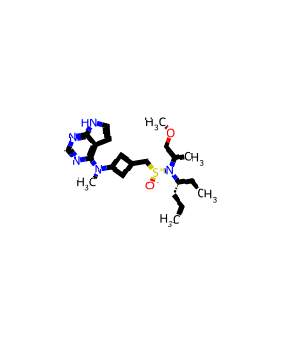 CCC[C@@H](CC)N(C(C)COC)[S+]([O-])CC1CC(N(C)c2ncnc3[nH]ccc23)C1